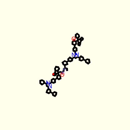 C=C/C(=C\C=C1/CC2(c3cc(-c4ccc(-c5nc(-c6ccccc6)cc(-c6cccc(-c7ccccc7)c6)n5)cc4)ccc3O1)c1ccccc1-c1ccccc12)C1=CC(c2ccc(C3CC(C4=CCC(C5C=CC=CC5)C=C4)=NC(c4ccc(-c5ccc6c(c5)C5(C7=CCCC=C7O6)c6ccccc6-c6ccccc65)cc4)=N3)cc2)CC=C1